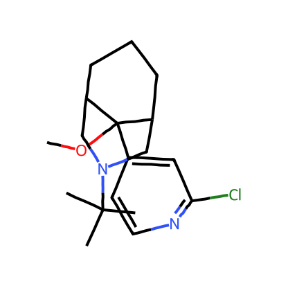 COC1(c2ccnc(Cl)c2)C2CCCC1CN(C(C)(C)C)C2